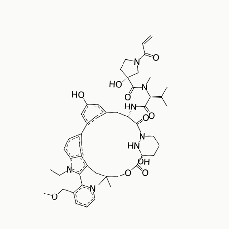 C=CC(=O)N1CC[C@](O)(C(=O)N(C)[C@H](C(=O)N[C@H]2Cc3cc(O)cc(c3)-c3ccc4c(c3)c(c(-c3ncccc3COC)n4CC)CC(C)(C)COC(=O)[C@@]3(O)CCCN(N3)C2=O)C(C)C)C1